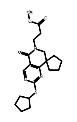 CC(C)(C)OC(=O)CCN1CC2(CCCC2)c2nc(SC3CCCC3)ncc2C1=O